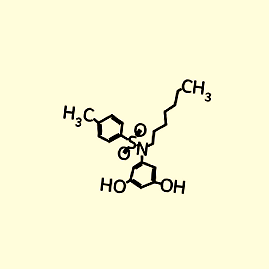 CCCCCCCN(c1cc(O)cc(O)c1)S(=O)(=O)c1ccc(C)cc1